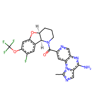 Cc1ncc2c(N)nc3cnc(C(=O)N4CCC[C@@H]5Oc6cc(OC(F)(F)F)c(F)cc6[C@@H]54)cc3n12